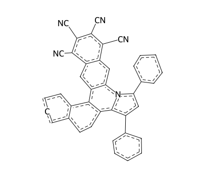 N#Cc1c(C#N)c(C#N)c2cc3c(cc2c1C#N)c1c2ccccc2ccc1c1c(-c2ccccc2)cc(-c2ccccc2)n31